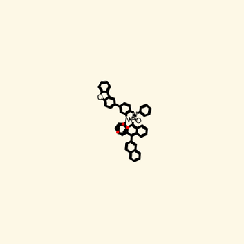 O=P1(c2c3ccccc3c(-c3ccc4ccccc4c3)c3ccccc23)N(c2ccccc2)c2ccc(-c3ccc4oc5ccccc5c4c3)cc2N1c1ccccc1